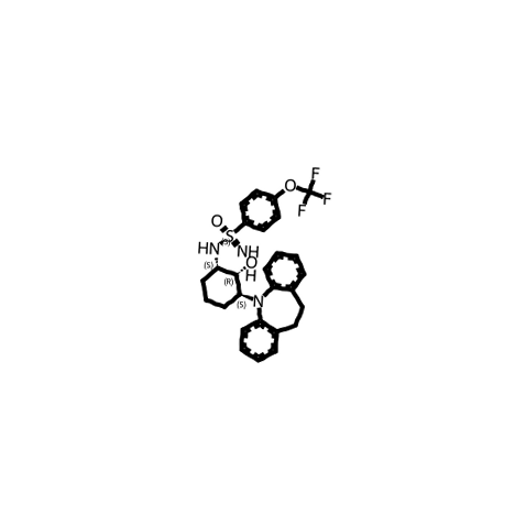 N=[S@@](=O)(N[C@H]1CCC[C@H](N2c3ccccc3CCc3ccccc32)[C@H]1O)c1ccc(OC(F)(F)F)cc1